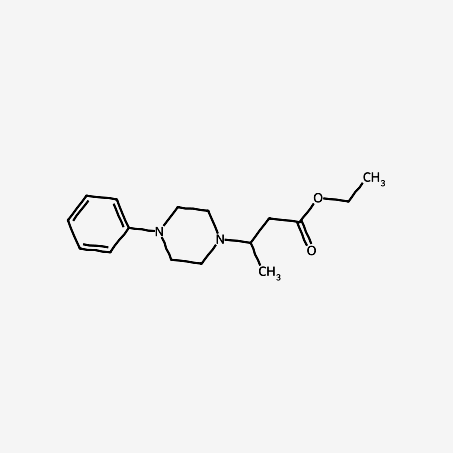 CCOC(=O)CC(C)N1CCN(c2ccccc2)CC1